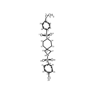 COc1ccc(S(=O)(=O)N2CCC3(CC2)CN(S(=O)(=O)c2ccc(Cl)cc2)C3)cc1